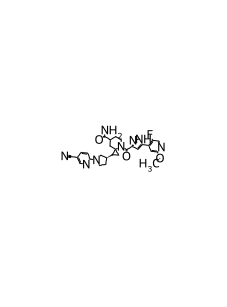 COc1cc(-c2cc(C(=O)N3CCC(C(N)=O)CC34CC4[C@H]3CCN(c4ccc(C#N)cn4)C3)n[nH]2)c(F)cn1